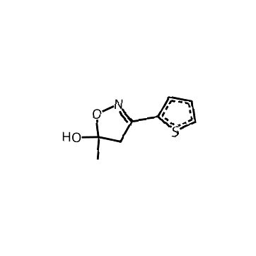 CC1(O)CC(c2cccs2)=NO1